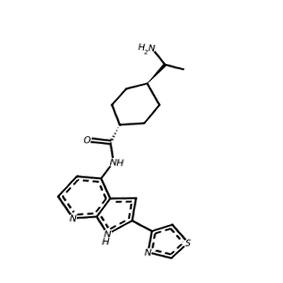 CC(N)[C@H]1CC[C@H](C(=O)Nc2ccnc3[nH]c(-c4cscn4)cc23)CC1